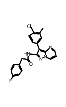 Cc1cc(-c2c(NC(=O)Cc3ccc(F)cc3)nn3cccnc23)ccc1Cl